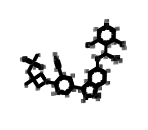 CC1(CS(C)(=O)=O)CN(c2ncc(-c3n[nH]c4ccc(O[C@H](N)c5c(Cl)cncc5Cl)cc34)cc2C#N)C1